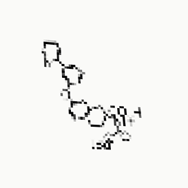 CC(C)(C)OC(=O)NC1(C(=O)O)CCc2ccc(Oc3cccc(-c4ccccn4)c3)cc2C1